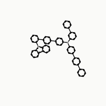 c1ccc(-c2ccc(-c3ccc(N(c4ccc(-c5ccc(-c6ccccc6-n6c7ccccc7c7ccccc76)cc5)cc4)c4cccc(-c5ccccc5)c4)cc3)cc2)cc1